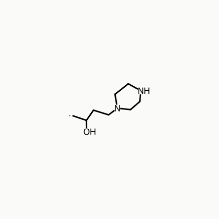 [CH2]C(O)CCN1CCNCC1